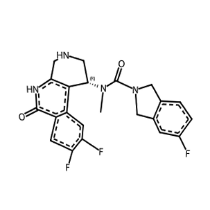 CN(C(=O)N1Cc2ccc(F)cc2C1)[C@H]1CNCc2[nH]c(=O)c3cc(F)c(F)cc3c21